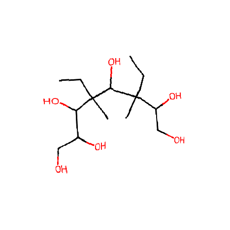 CCC(C)(C(O)CO)C(O)C(C)(CC)C(O)C(O)CO